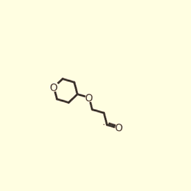 O=[C]CCOC1CCOCC1